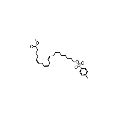 COC(=O)CCC/C=C\C/C=C\C/C=C\C/C=C\CCCCCOS(=O)(=O)c1ccc(C)cc1